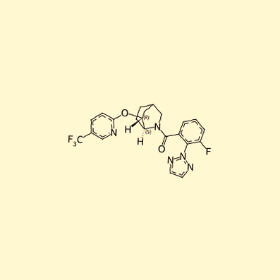 O=C(c1cccc(F)c1-n1nccn1)N1CC2CC[C@H]1[C@H](Oc1ccc(C(F)(F)F)cn1)C2